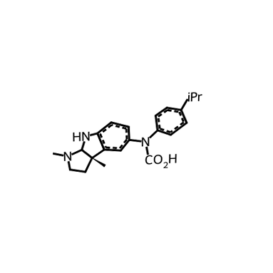 CC(C)c1ccc(N(C(=O)O)c2ccc3c(c2)[C@]2(C)CCN(C)C2N3)cc1